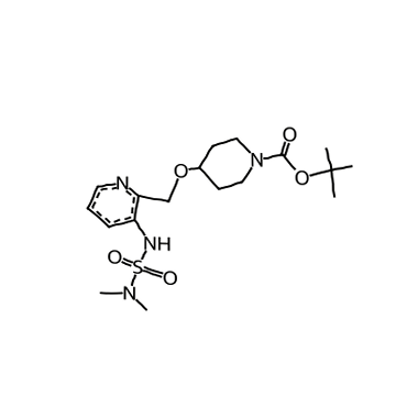 CN(C)S(=O)(=O)Nc1cccnc1COC1CCN(C(=O)OC(C)(C)C)CC1